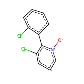 [O-][n+]1c[c]cc(Cl)c1-c1ccccc1Cl